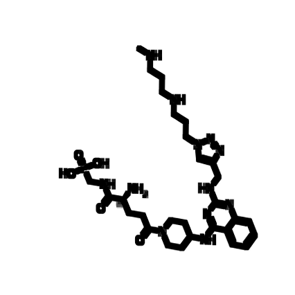 CNCCCNCCCn1cc(CNc2nc(NC3CCN(C(=O)CC[C@H](N)C(=O)NCP(=O)(O)O)CC3)c3ccccc3n2)nn1